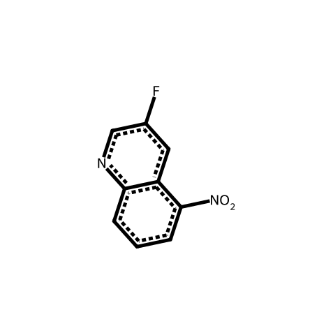 O=[N+]([O-])c1cccc2ncc(F)cc12